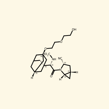 N#C[C@@H]1C[C@@H]2C[C@@H]2N1C(=O)[C@@H](NC(=O)O)[C@]12CC3C[C@H](C[C@](OCCOCCO)(C3)C1)C2